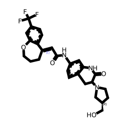 O=C(/C=C1\CCCOc2cc(C(F)(F)F)ccc21)Nc1ccc2c(c1)NC(=O)C(N1CC[C@@H](CO)C1)C2